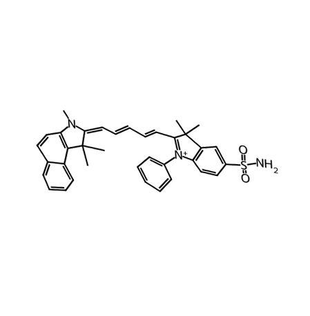 CN1/C(=C/C=C/C=C/C2=[N+](c3ccccc3)c3ccc(S(N)(=O)=O)cc3C2(C)C)C(C)(C)c2c1ccc1ccccc21